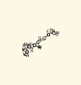 COc1cc(N2CCN(C(=O)CN3CCC(c4ccc(NC5CCC(=O)NC5=O)c(F)c4)CC3)CC2)c(-c2cnn(C)c2)cc1Nc1ncc(Br)c(Nc2ccc3nccnc3c2P(C)C)n1